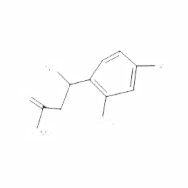 COC(=O)CC(C#N)c1ccc(Br)cc1C